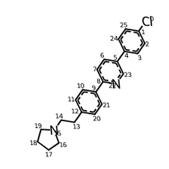 Clc1ccc(-c2ccc(-c3ccc(CCN4CCCC4)cc3)nc2)cc1